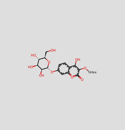 CCCCCCOc1c(O)c2ccc(O[C@H]3O[C@H](CO)[C@@H](O)[C@H](O)[C@@H]3O)cc2oc1=O